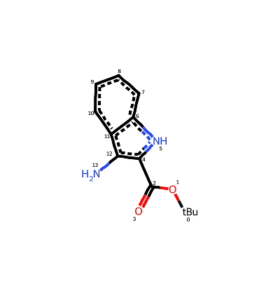 CC(C)(C)OC(=O)c1[nH]c2ccccc2c1N